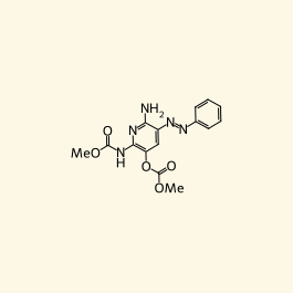 COC(=O)Nc1nc(N)c(/N=N/c2ccccc2)cc1OC(=O)OC